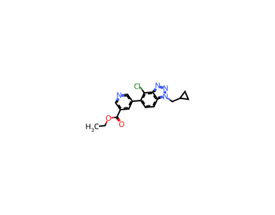 CCOC(=O)c1cncc(-c2ccc3c(nnn3CC3CC3)c2Cl)c1